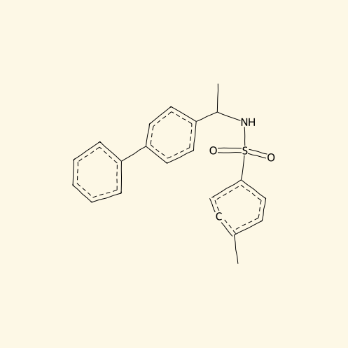 Cc1ccc(S(=O)(=O)NC(C)c2ccc(-c3ccccc3)cc2)cc1